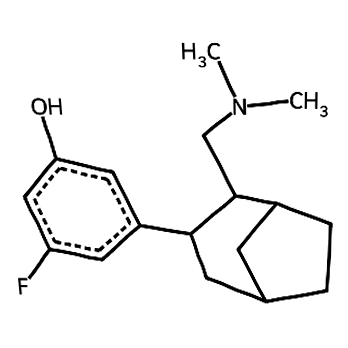 CN(C)CC1C2CCC(C2)CC1c1cc(O)cc(F)c1